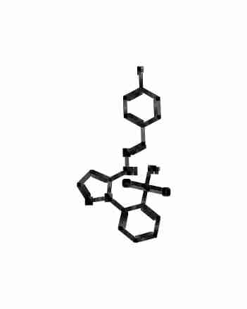 CC(C)S(=O)(=O)c1ccccc1-n1nccc1NN=Cc1ccc(F)cc1